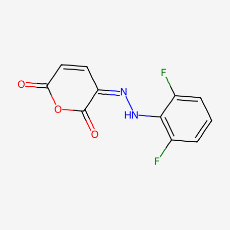 O=C1C=CC(=NNc2c(F)cccc2F)C(=O)O1